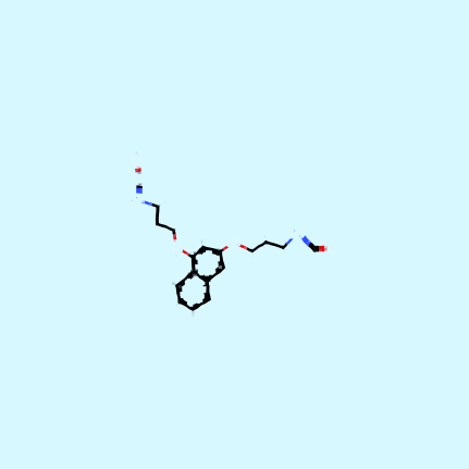 O=C=NCCCOc1cc(OCCCN=C=O)c2ccccc2c1